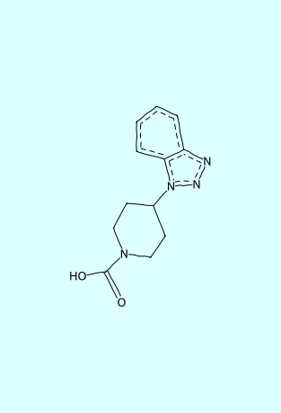 O=C(O)N1CCC(n2nnc3ccccc32)CC1